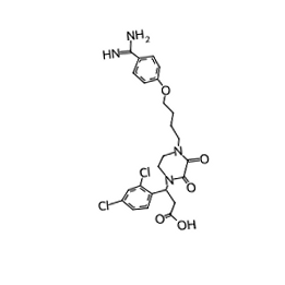 N=C(N)c1ccc(OCCCCN2CCN(C(CC(=O)O)c3ccc(Cl)cc3Cl)C(=O)C2=O)cc1